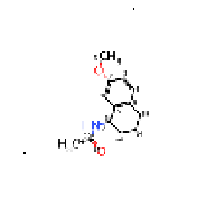 COc1ccc2c(c1)C(NC(C)=O)CCC2